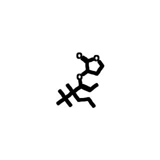 C/C=C(\OC1CCOC1=O)C(C)(CCC)C(C)(C)C